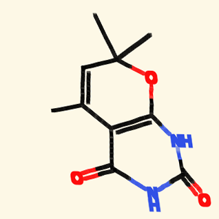 CC1=CC(C)(C)Oc2[nH]c(=O)[nH]c(=O)c21